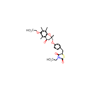 Cc1c(C)c2c(c(C)c1OCC(=O)O)C(=O)CC(C)(COc1ccc(CC3SC(=O)N(CC(=O)O)C3=O)cc1)O2